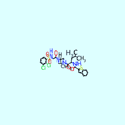 CC(C)CC(NC(=O)c1cc2ccccc2s1)C(=O)N1C[C@H]2N(C(=O)CNS(=O)(=O)c3cccc(Cl)c3Cl)CC21C